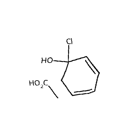 CC(=O)O.OC1(Cl)C=CC=CC1